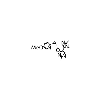 COc1ccc([C@H]2C[C@@H]2COc2nc(C)ncc2-c2cnc(C)n2C)nc1